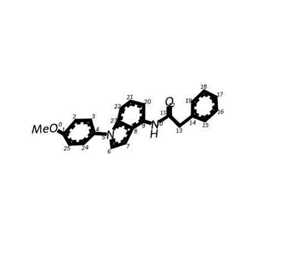 COc1ccc(-n2ccc3c(NC(=O)Cc4ccccc4)cccc32)cc1